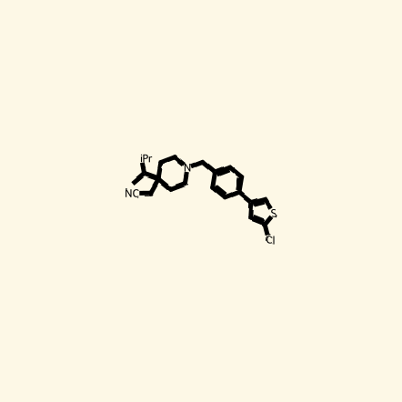 CC(C)C(C)C1(CC#N)CCN(Cc2ccc(-c3csc(Cl)c3)cc2)CC1